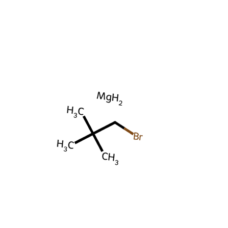 CC(C)(C)CBr.[MgH2]